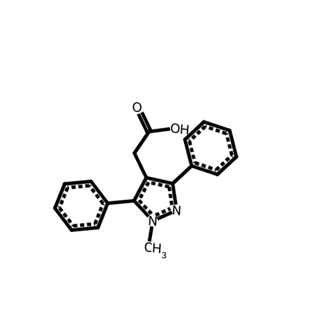 Cn1nc(-c2ccccc2)c(CC(=O)O)c1-c1ccccc1